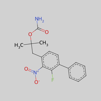 CC(C)(Cc1ccc(-c2ccccc2)c(F)c1[N+](=O)[O-])OC(N)=O